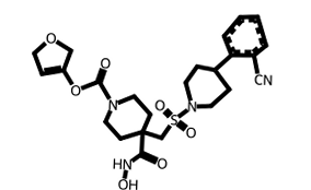 N#Cc1ccccc1C1CCN(S(=O)(=O)CC2(C(=O)NO)CCN(C(=O)OC3=CCOC3)CC2)CC1